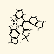 Cc1cc2c(cc1N1C(C(=O)OC(C)(C)C)=C(c3ccc4c(c3)OCO4)c3ccccc3S1(=O)=O)OCO2